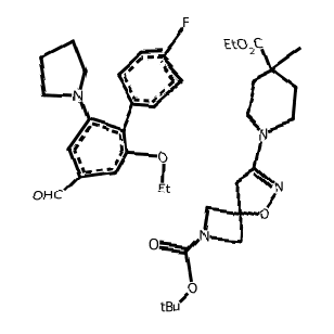 CCOC(=O)C1(C)CCN(C2=NOC3(C2)CN(C(=O)OC(C)(C)C)C3)CC1.CCOc1cc(C=O)cc(N2CCCC2)c1-c1ccc(F)cc1